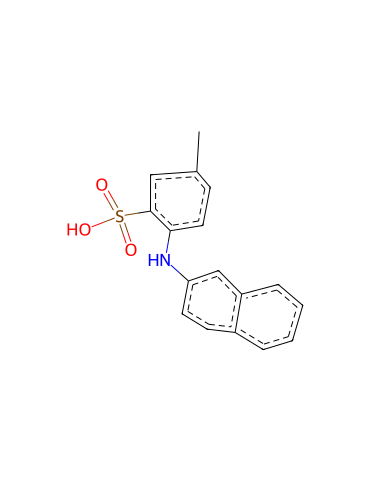 Cc1ccc(Nc2ccc3ccccc3c2)c(S(=O)(=O)O)c1